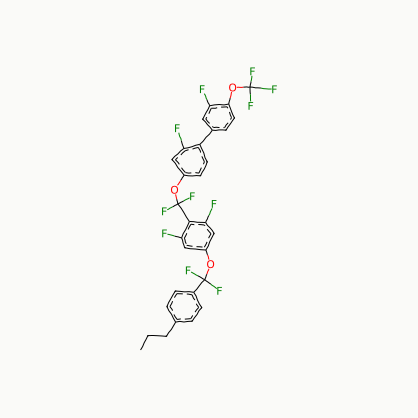 CCCc1ccc(C(F)(F)Oc2cc(F)c(C(F)(F)Oc3ccc(-c4ccc(OC(F)(F)F)c(F)c4)c(F)c3)c(F)c2)cc1